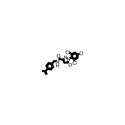 C=C(C)c1ccc(CNC(=O)C2=NN(c3c(Cl)cc(Cl)cc3Cl)C(=O)C2)cc1